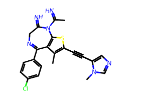 CC(=N)N1C(=N)CN=C(c2ccc(Cl)cc2)c2c1sc(C#Cc1cncn1C)c2C